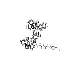 CCCCCCCCCCCCCCN(C)c1ccccc1C(=O)Nc1cnc2ccccc2c1.CCCN(C)N(C(=O)c1ccccc1)c1cnc2ccccc2c1